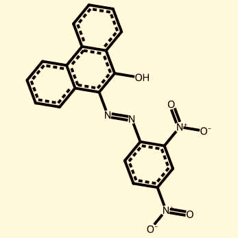 O=[N+]([O-])c1ccc(N=Nc2c(O)c3ccccc3c3ccccc23)c([N+](=O)[O-])c1